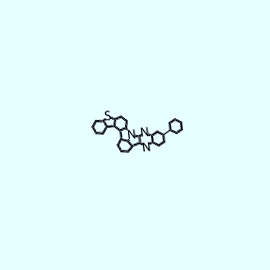 c1ccc(-c2ccc3nc4c5cccc6c7c8c(ccc7n(c4nc3c2)c56)sc2ccccc28)cc1